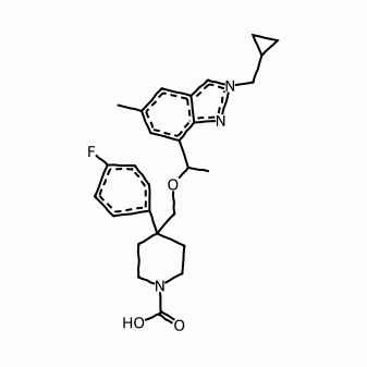 Cc1cc(C(C)OCC2(c3ccc(F)cc3)CCN(C(=O)O)CC2)c2nn(CC3CC3)cc2c1